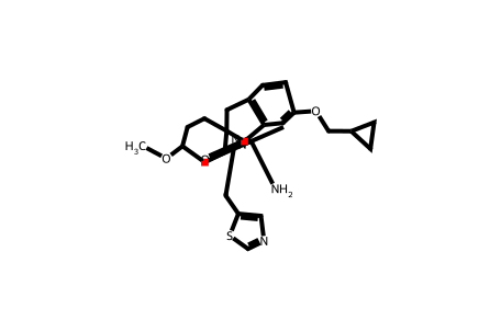 COC1CCC2(CC1)Cc1ccc(OCC3CC3)cc1C21N=C(N)N(Cc2cncs2)C1=O